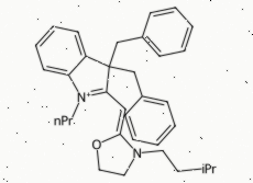 CCC[N+]1=C(/C=C2\OCCN2CCC(C)C)C(Cc2ccccc2)(Cc2ccccc2)c2ccccc21